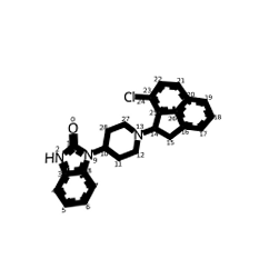 O=c1[nH]c2ccccc2n1C1CCN(C2Cc3cccc4ccc(Cl)c2c34)CC1